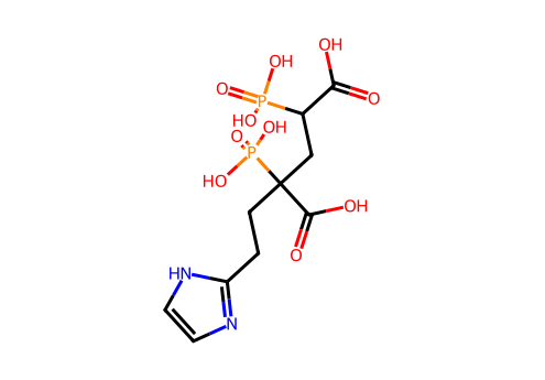 O=C(O)C(CC(CCc1ncc[nH]1)(C(=O)O)P(=O)(O)O)P(=O)(O)O